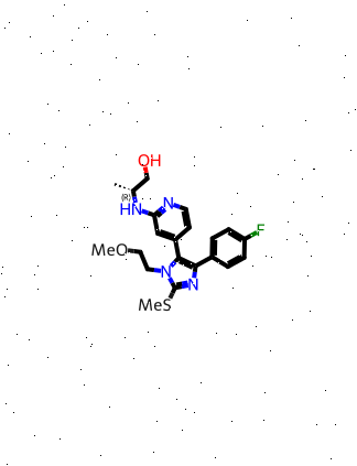 COCCn1c(SC)nc(-c2ccc(F)cc2)c1-c1ccnc(N[C@H](C)CO)c1